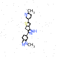 Cc1ccc(-c2cc3c(s2)Cc2c(-c4ccc5cnn(C)c5c4)n[nH]c2-3)cn1